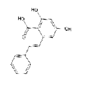 O=C(O)c1c(O)cc(O)cc1C=Cc1ccccc1